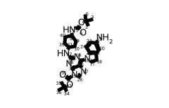 CC(C)(C)OC(=O)NC1CCC(Nc2nc(N3CCc4cc(N)ccc43)c3ncn(C(=O)OC(C)(C)C)c3n2)CC1